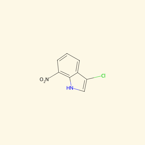 O=[N+]([O-])c1cccc2c(Cl)c[nH]c12